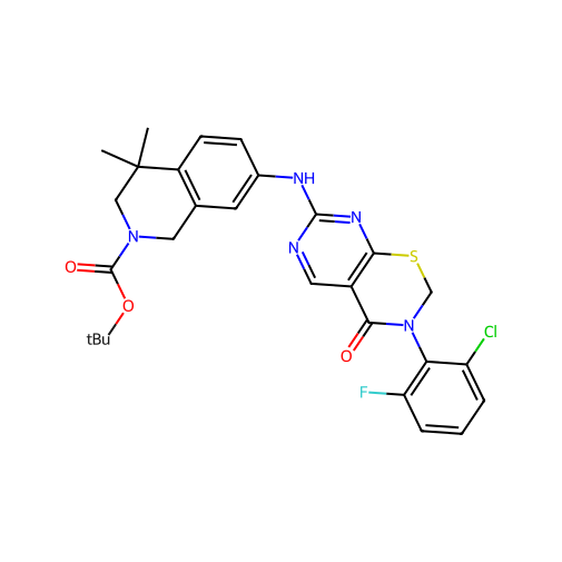 CC(C)(C)OC(=O)N1Cc2cc(Nc3ncc4c(n3)SCN(c3c(F)cccc3Cl)C4=O)ccc2C(C)(C)C1